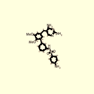 COc1cc(Cc2cnc(N)nc2N)cc(-c2cccc(NS(=O)(=O)c3ccc(N)cc3)c2)c1OC